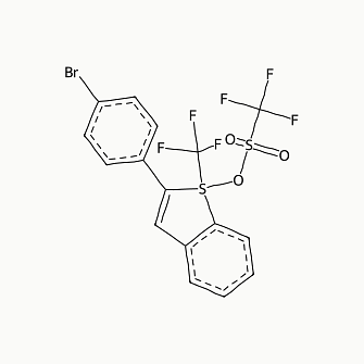 O=S(=O)(OS1(C(F)(F)F)C(c2ccc(Br)cc2)=Cc2ccccc21)C(F)(F)F